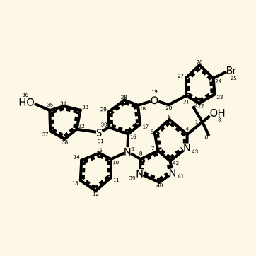 CC(C)(O)c1ccc2c(N(c3ccccc3)c3cc(OCc4ccc(Br)cc4)ccc3Sc3ccc(O)cc3)ncnc2n1